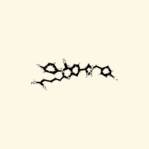 O=C(O)CCCCc1nc2cc(-c3cn(Cc4ccc(F)cc4)nn3)ccc2c(=O)n1-c1ccc(F)cc1